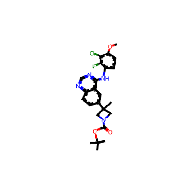 COc1ccc(Nc2ncnc3ccc(C4(C)CN(C(=O)OC(C)(C)C)C4)cc23)c(F)c1Cl